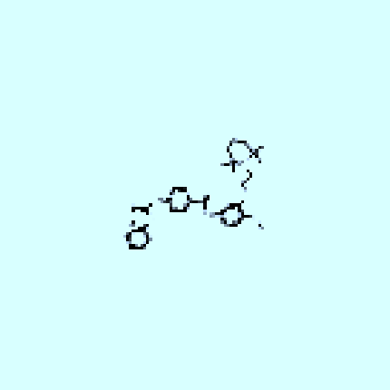 COc1ccc(NC(=O)c2ccc(Nc3cnc4ccccc4n3)cc2)cc1OCCN1C(C)(C)CCCC1(C)C